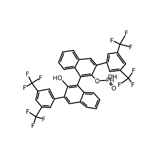 O=[PH](O)Oc1c(-c2cc(C(F)(F)F)cc(C(F)(F)F)c2)cc2ccccc2c1-c1c(O)c(-c2cc(C(F)(F)F)cc(C(F)(F)F)c2)cc2ccccc12